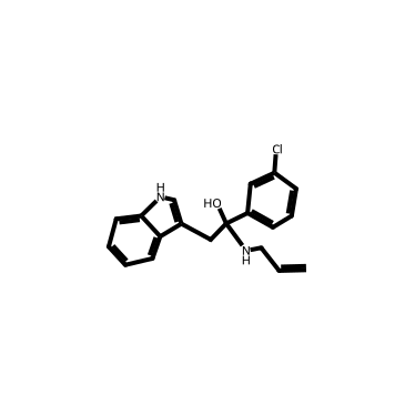 C=CCNC(O)(Cc1c[nH]c2ccccc12)c1cccc(Cl)c1